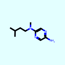 CC(C)CCN(C)c1cnc(N)cn1